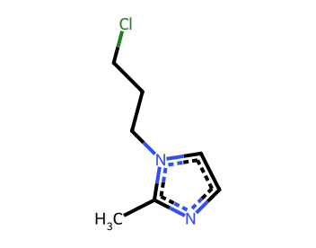 Cc1nccn1CCCCl